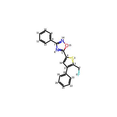 FCc1sc(-c2nc(-c3ccccc3)no2)cc1-c1ccccc1